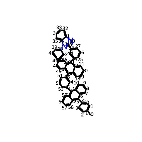 Cc1ccc(-c2c3ccccc3c(C3C=C(c4c5ccccc5c(-c5cccc(-c6nc7ccccc7n6-c6ccccc6)c5)c5ccccc45)C=CC3)c3ccccc23)cc1